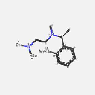 CCN(CCN(C)[C@@H](C)c1ccccc1OC)C(C)(C)C